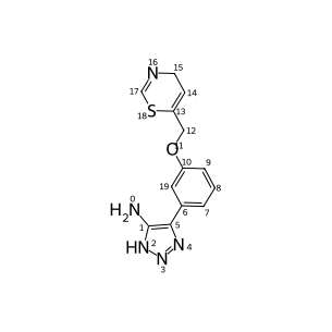 Nc1[nH]nnc1-c1cccc(OCC2=CCN=CS2)c1